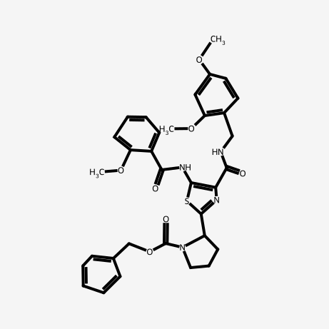 COc1ccc(CNC(=O)c2nc(C3CCCN3C(=O)OCc3ccccc3)sc2NC(=O)c2ccccc2OC)c(OC)c1